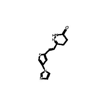 O=C1CCC(C=Cc2cc(-n3ccnc3)cs2)=NN1